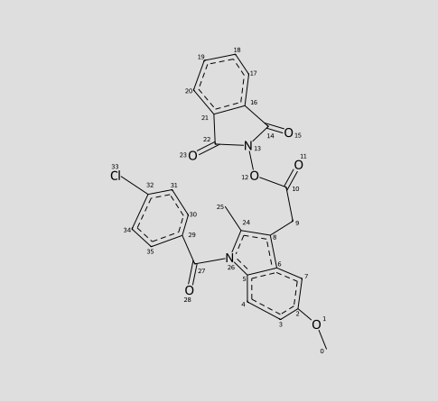 COc1ccc2c(c1)c(CC(=O)ON1C(=O)c3ccccc3C1=O)c(C)n2C(=O)c1ccc(Cl)cc1